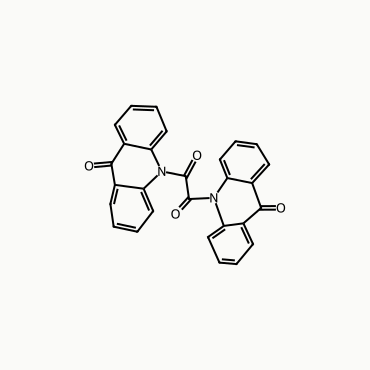 O=C(C(=O)n1c2ccccc2c(=O)c2ccccc21)n1c2ccccc2c(=O)c2ccccc21